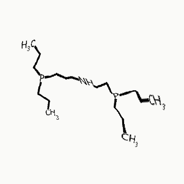 CCCP(CCC)CCNCCP(CCC)CCC